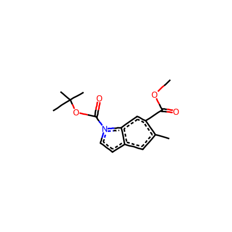 COC(=O)c1cc2c(ccn2C(=O)OC(C)(C)C)cc1C